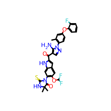 Cc1cc(Oc2ccccc2F)ccc1-n1ncc(C(=O)c2cc3cc(OC(F)F)c(N4C(=O)C(C)(C)NC4=S)cc3[nH]2)c1N